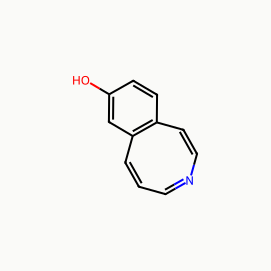 Oc1ccc2c(c1)\C=C/C=N\C=C/2